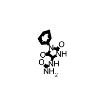 NC(=O)NC1NC(=O)N(c2ccccc2)C1=O